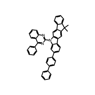 CC1(C)c2ccccc2-c2cc3c(cc21)c1ccc(-c2ccc(-c4ccccc4)cc2)cc1n3-c1nc(-c2ccccc2)c2ccccc2n1